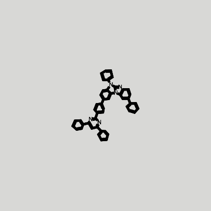 c1ccc(-c2ccc3nc4n(-c5ccccc5)c5ccc(-c6ccc(-c7nc(-c8ccccc8)cc(-c8ccccc8)n7)cc6)cc5n4c3c2)cc1